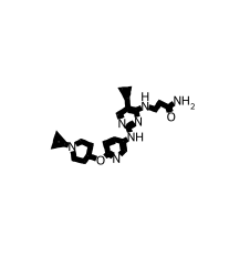 NC(=O)CCNc1nc(Nc2ccc(OC3CCN(C4CC4)CC3)nc2)ncc1C1CC1